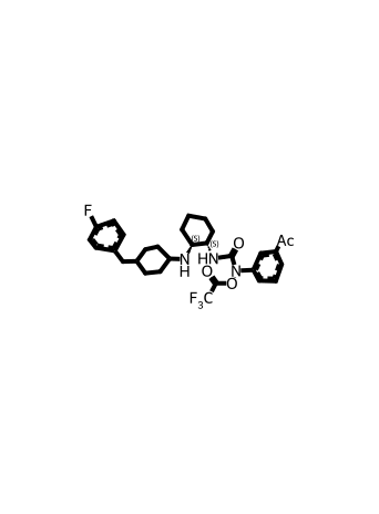 CC(=O)c1cccc(N(OC(=O)C(F)(F)F)C(=O)N[C@H]2CCCC[C@@H]2NC2CCC(Cc3ccc(F)cc3)CC2)c1